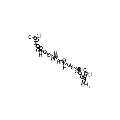 CN1CCN([C@H]2Cc3c(Cl)cc(Cl)cc3[C@@H]2Oc2ccc(S(=O)(=O)NCCOCCOCCNC(=O)NCCCCNC(=O)NCCOCCOCCNS(=O)(=O)c3ccc(O[C@@H]4CCc5c(Cl)cc(Cl)cc54)cc3)cc2)CC1